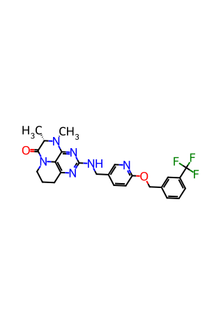 C[C@H]1C(=O)N2CCCc3nc(NCc4ccc(OCc5cccc(C(F)(F)F)c5)nc4)nc(c32)N1C